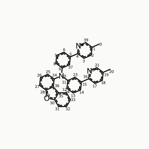 Cc1ccc(-c2cccc(N(c3cccc(-c4ccc(C)cn4)c3)c3cccc4oc5ccccc5c34)c2)nc1